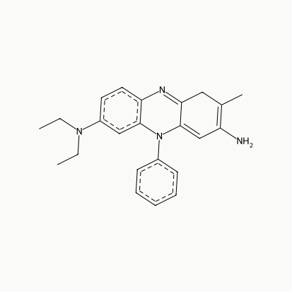 CCN(CC)c1ccc2c(c1)N(c1ccccc1)C1=CC(N)=C(C)CC1=N2